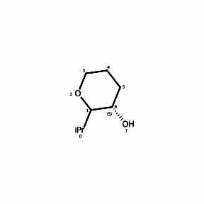 CC(C)C1OCCC[C@@H]1O